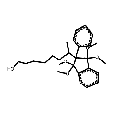 COC1(OC)c2ccccc2C(OC)(OC)C1(c1ccccc1)C(C)CCCCCCO